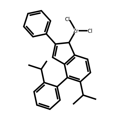 CC(C)c1ccccc1-c1c(C(C)C)ccc2c1C=C(c1ccccc1)[CH]2[Zr]([Cl])[Cl]